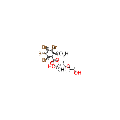 CC(O)C(CCOCCO)OC(=O)c1c(Br)c(Br)c(Br)c(Br)c1C(=O)O